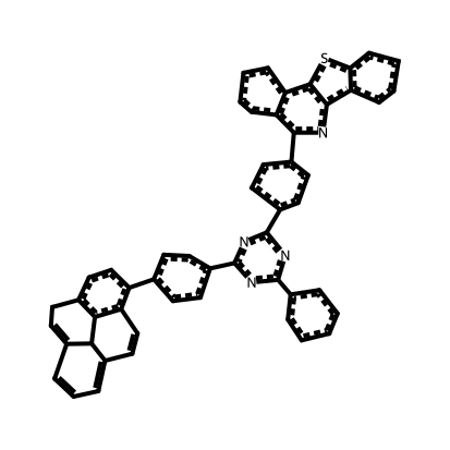 C1=CC2=CCc3ccc(-c4ccc(-c5nc(-c6ccccc6)nc(-c6ccc(-c7nc8c9ccccc9sc8c8ccccc78)cc6)n5)cc4)c4c3C2C(=C1)C=C4